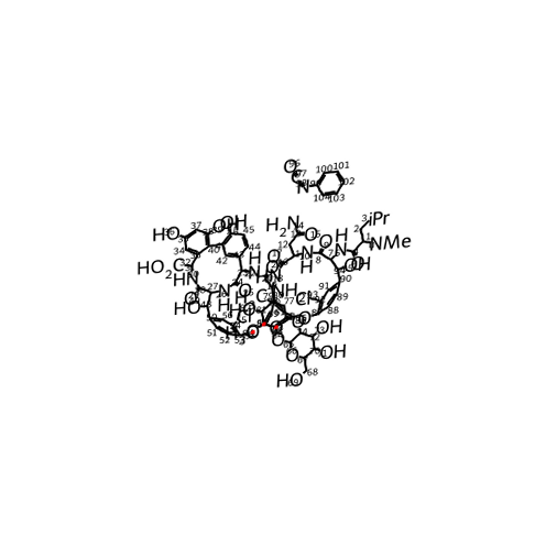 CNC(CC(C)C)C(=O)NC1C(=O)NC(CC(N)=O)C(=O)NC2C(=O)NC3C(=O)NC(C(=O)NC(C(=O)O)c4cc(O)cc(O)c4-c4cc3ccc4O)C(O)c3ccc(c(Cl)c3)Oc3cc2cc(c3OC2OC(CO)C(O)C(O)C2OC2CC(C)(N)C(O)C(C)O2)Oc2ccc(cc2Cl)C1O.O=C=Nc1ccccc1